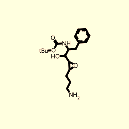 CC(C)(C)OC(=O)NC(Cc1ccccc1)C(O)C1OC1CCCN